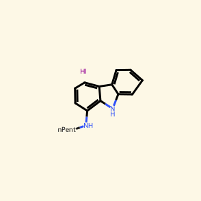 CCCCCNc1cccc2c1[nH]c1ccccc12.I